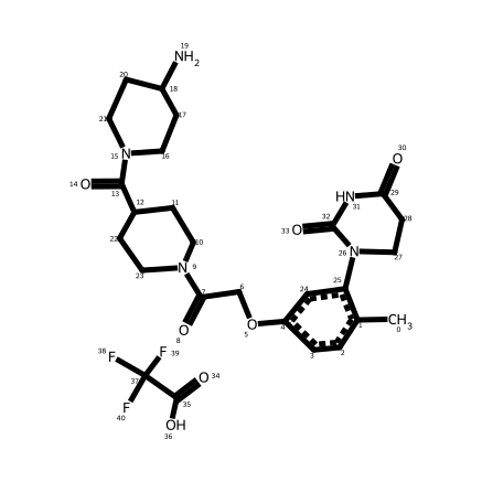 Cc1ccc(OCC(=O)N2CCC(C(=O)N3CCC(N)CC3)CC2)cc1N1CCC(=O)NC1=O.O=C(O)C(F)(F)F